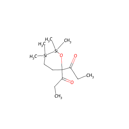 CCC(=O)C1(C(=O)CC)CC[Si](C)(C)[Si](C)(C)O1